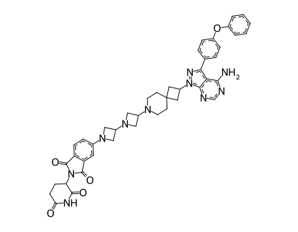 Nc1ncnc2c1c(-c1ccc(Oc3ccccc3)cc1)nn2C1CC2(CCN(C3CN(C4CN(c5ccc6c(c5)C(=O)N(C5CCC(=O)NC5=O)C6=O)C4)C3)CC2)C1